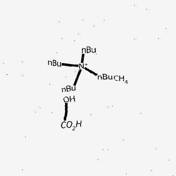 C.CCCC[N+](CCCC)(CCCC)CCCC.O=C(O)O